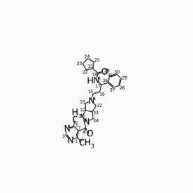 Cc1ncnc(C)c1C(=O)N1CC2CN(CCC(NC(=O)C3CCCC3)c3ccccc3)CC2C1